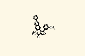 Cc1cc(C2OC=C(C(N)=O)N2c2cc3cn(C4CCCC4)nc3cc2C#N)ccn1